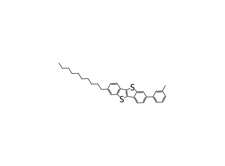 CCCCCCCCCCc1ccc2c(c1)sc1c3ccc(-c4cccc(C)c4)cc3sc21